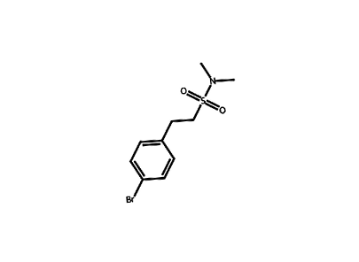 CN(C)S(=O)(=O)CCc1ccc(Br)cc1